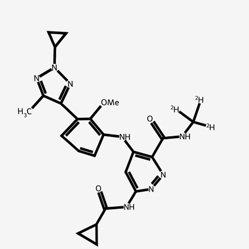 [2H]C([2H])([2H])NC(=O)c1nnc(NC(=O)C2CC2)cc1Nc1cccc(-c2nn(C3CC3)nc2C)c1OC